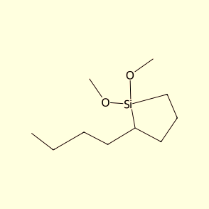 CCCCC1CCC[Si]1(OC)OC